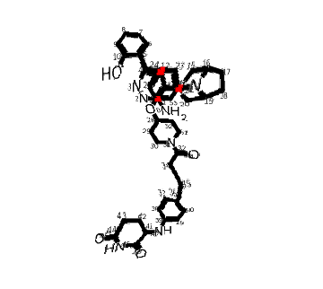 Nc1nnc(-c2ccccc2O)cc1N1CC2CCC(C1)N2c1cccc(OC2CCN(C(=O)CCc3ccc(NC4CCC(=O)NC4=O)cc3)CC2)c1